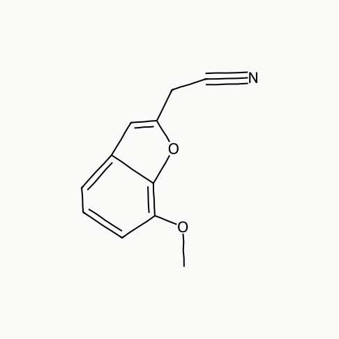 COc1cccc2cc(CC#N)oc12